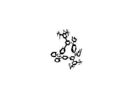 FC(F)(F)c1cc(-c2cc(-c3ccc(Oc4ccccc4)cc3)cc(N(c3ccc(N(c4cccnc4)c4cc(-c5ccc(Oc6ccccc6)cc5)cc(-c5cc(C(F)(F)F)cc(C(F)(F)F)c5)c4)cc3)c3cccnc3)c2)cc(C(F)(F)F)c1